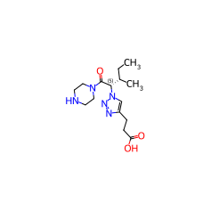 CCC(C)[C@@H](C(=O)N1CCNCC1)n1cc(CCC(=O)O)nn1